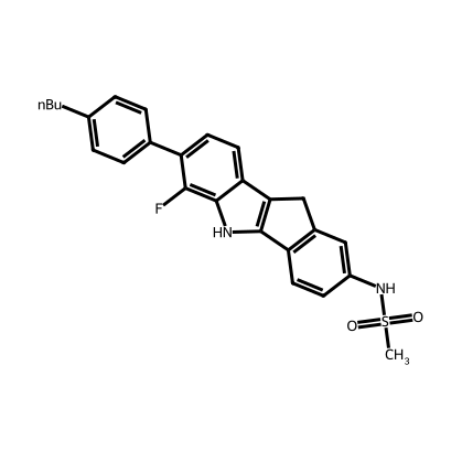 CCCCc1ccc(-c2ccc3c4c([nH]c3c2F)-c2ccc(NS(C)(=O)=O)cc2C4)cc1